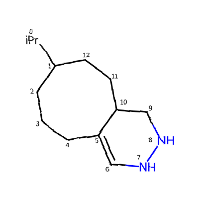 CC(C)C1CCCC2=CNNCC2CC1